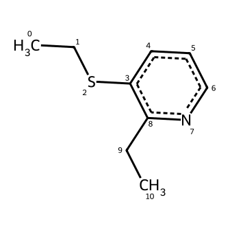 CCSc1cccnc1CC